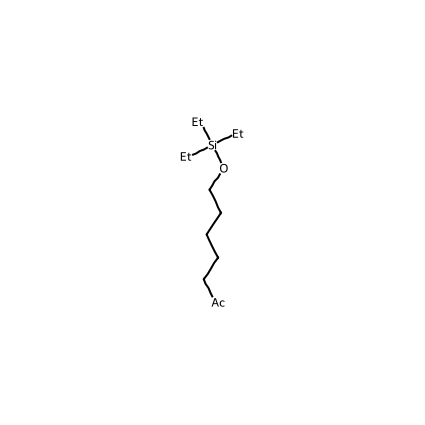 CC[Si](CC)(CC)OCCCCCC(C)=O